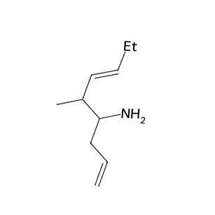 C=CCC(N)C(C)C=CCC